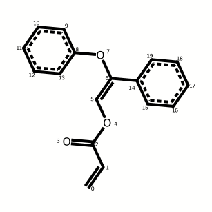 C=CC(=O)OC=C(Oc1ccccc1)c1ccccc1